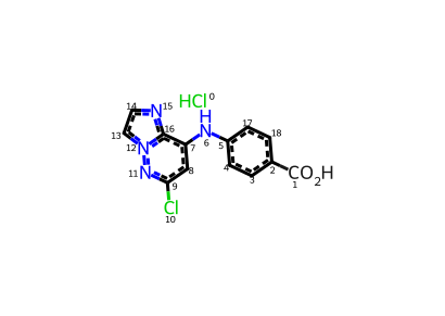 Cl.O=C(O)c1ccc(Nc2cc(Cl)nn3ccnc23)cc1